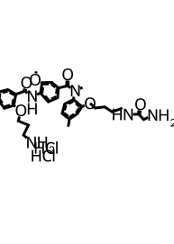 COc1cc(C(=O)N(C)c2ccc(C)cc2OCCCCNC(=O)CN)ccc1NC(=O)c1ccccc1OCCCN.Cl.Cl